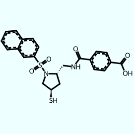 O=C(O)c1ccc(C(=O)NC[C@@H]2C[C@@H](S)CN2S(=O)(=O)c2ccc3ccccc3c2)cc1